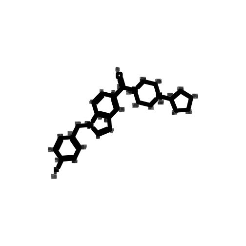 O=C(c1ccc2c(ccn2Cc2ccc(F)cc2)c1)N1CCN(C2CCCC2)CC1